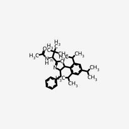 CC(=O)N[C@H](C1=NC(Cc2ccccc2)C(c2c(C(C)C)cc(C(C)C)cc2C(C)C)O1)C(C)(C)C